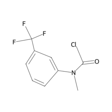 CN(C(=O)Cl)c1cccc(C(F)(F)F)c1